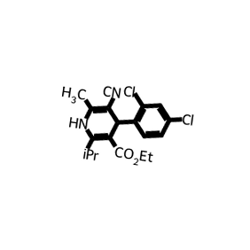 CCOC(=O)C1=C(C(C)C)NC(C)=C(C#N)C1c1ccc(Cl)cc1Cl